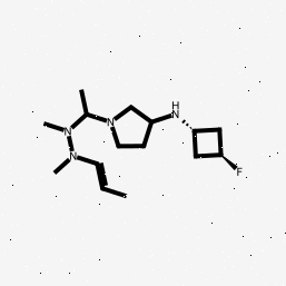 C/C=C/N(C)N(C)C(C)N1CCC(N[C@H]2C[C@H](F)C2)C1